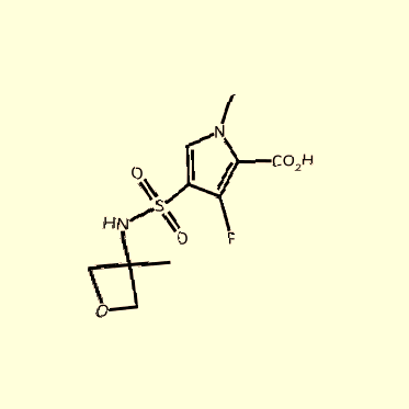 Cn1cc(S(=O)(=O)NC2(C)COC2)c(F)c1C(=O)O